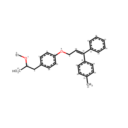 CCOC(Cc1ccc(OCC=C(c2ccccc2)c2ccc(C)cc2)cc1)C(=O)O